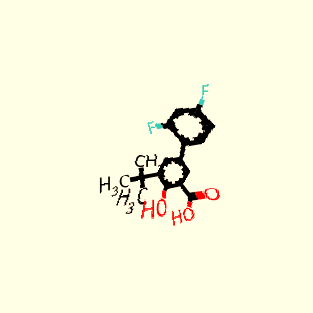 CC(C)(C)c1cc(-c2ccc(F)cc2F)cc(C(=O)O)c1O